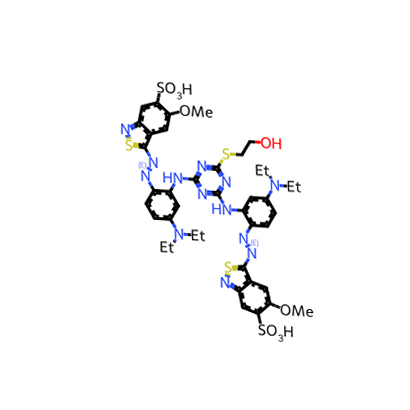 CCN(CC)c1ccc(/N=N/c2snc3cc(S(=O)(=O)O)c(OC)cc23)c(Nc2nc(Nc3cc(N(CC)CC)ccc3/N=N/c3snc4cc(S(=O)(=O)O)c(OC)cc34)nc(SCCO)n2)c1